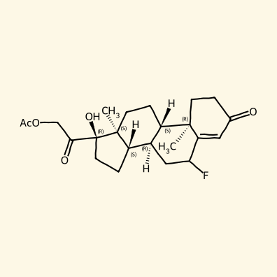 CC(=O)OCC(=O)[C@@]1(O)CC[C@H]2[C@@H]3CC(F)C4=CC(=O)CC[C@]4(C)[C@H]3CC[C@@]21C